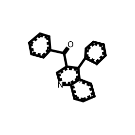 O=C(c1ccccc1)c1cnc2ccccc2c1-c1[c]cccc1